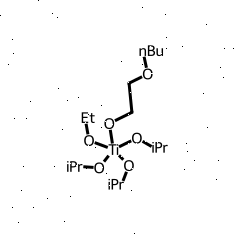 CCCCOCC[O][Ti]([O]CC)([O]C(C)C)([O]C(C)C)[O]C(C)C